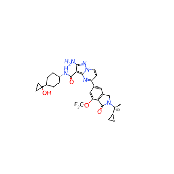 C[C@@H](C1CC1)N1Cc2cc(-c3ccn4nc(N)c(C(=O)N[C@H]5CC[C@H](C6(O)CC6)CC5)c4n3)cc(OC(F)(F)F)c2C1=O